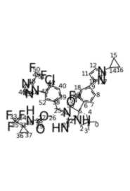 CC(C)(C)C[C@]1(c2ccc(-c3ccn(C4CC4)n3)cc2F)NC(=N)N([C@H](COC(=O)NC2(C(F)(F)F)CC2)c2ccc(Cl)c(-n3ncnc3C(F)F)c2)C1=O